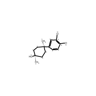 C[C@]1(O)CC[C@@](C)(c2ccc(Cl)c(Cl)c2)CC1